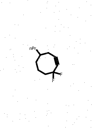 CCCC1CC#CC(F)(F)CCC1